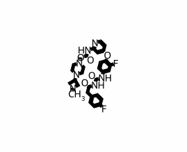 CN1CC(N2CCN(OC(=O)Nc3cc(Oc4ccc(NC(=O)NC(=O)Cc5ccc(F)cc5)cc4F)ccn3)CC2)C1